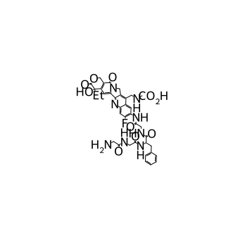 CC[C@@]1(O)C(=O)OCc2c1cc1n(c2=O)Cc2c-1nc1cc(F)c(NC(=O)CNC(=O)C(Cc3ccccc3)NC(=O)CNC(=O)CN)cc1c2CNC(=O)O